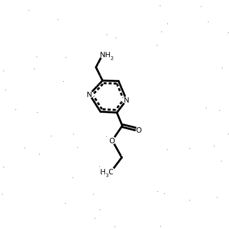 CCOC(=O)c1cnc(CN)cn1